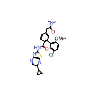 COc1ccc(Cl)cc1-c1cc(CC(=O)N(C)C)ccc1C(=O)Nc1nc2ncc(C3CC3)nc2s1